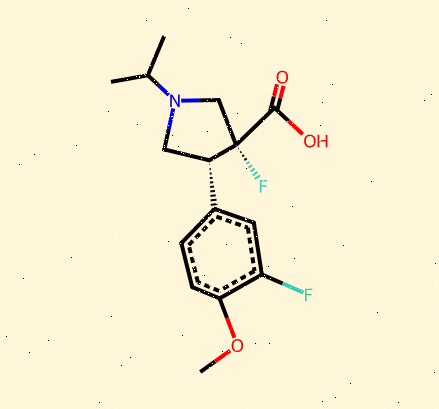 COc1ccc([C@@H]2CN(C(C)C)C[C@@]2(F)C(=O)O)cc1F